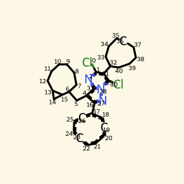 Clc1nc2c(CC3CCCCCCC4CC34)c(-c3ccccccccc3)nn2c(Cl)c1C1CCCCCCCC1